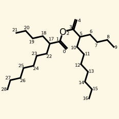 C=C(OC(=C)C(CCCC)CCCCCCC)C(CCCC)CCCCCCC